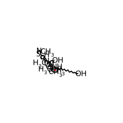 Cc1ncsc1-c1ccc([C@H](C)NC(=O)[C@@H]2C[C@@H](O)CN2C(=O)[C@@H](NC(=O)CCCCCCCCCCCCO)C(C)(C)C)cc1